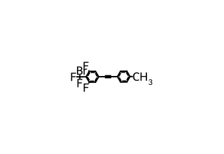 Cc1ccc(C#Cc2cc(F)c(C(F)(F)Br)c(F)c2)cc1